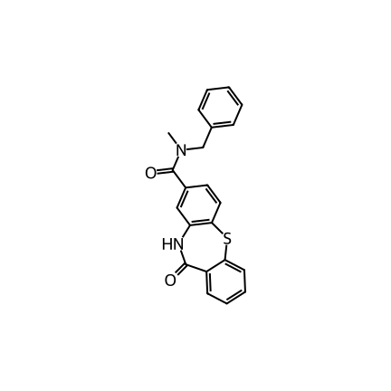 CN(Cc1ccccc1)C(=O)c1ccc2c(c1)NC(=O)c1ccccc1S2